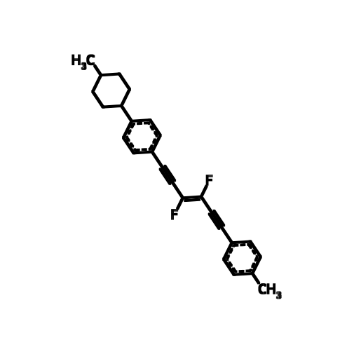 Cc1ccc(C#C/C(F)=C(\F)C#Cc2ccc(C3CCC(C)CC3)cc2)cc1